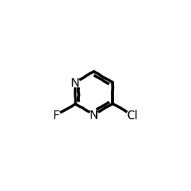 Fc1nccc(Cl)n1